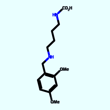 COc1ccc(CNCCCCNC(=O)O)c(OC)c1